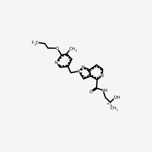 Cc1cc(Cn2cc3c(C(=O)NC[C@@H](C)O)nccc3n2)cnc1OCCC(F)(F)F